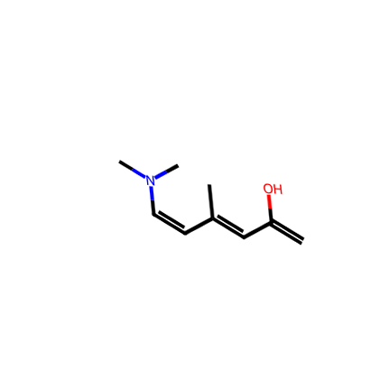 C=C(O)/C=C(C)/C=C\N(C)C